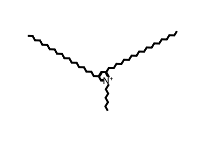 CCCCCCCCCCCCCCCCCCCc1cc(CCCCCCCCCCCCCCCCCCC)c[n+](CCCCCCC)c1